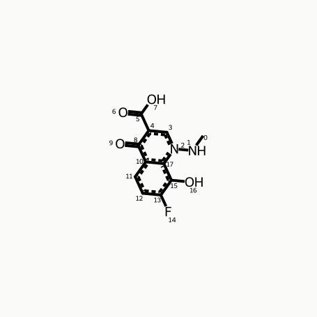 CNn1cc(C(=O)O)c(=O)c2ccc(F)c(O)c21